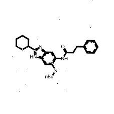 CCCCSc1cc2[nH]c(C3CCCCC3)nc2cc1NC(=O)CCc1ccccc1